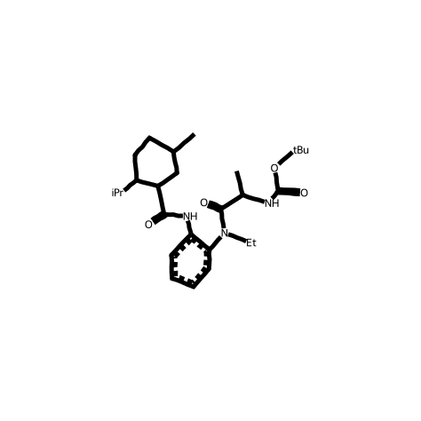 CCN(C(=O)C(C)NC(=O)OC(C)(C)C)c1ccccc1NC(=O)C1CC(C)CCC1C(C)C